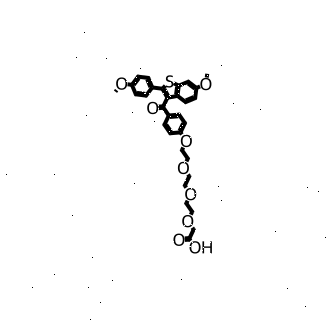 COc1ccc(-c2sc3cc(OC)ccc3c2C(=O)c2ccc(OCCOCCOCCOCC(=O)O)cc2)cc1